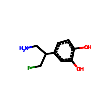 NCC(CF)c1ccc(O)c(O)c1